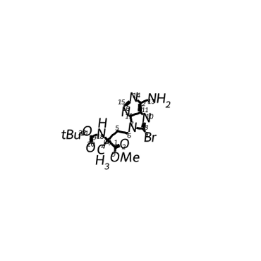 COC(=O)[C@@](C)(CCn1c(Br)nc2c(N)ncnc21)NC(=O)OC(C)(C)C